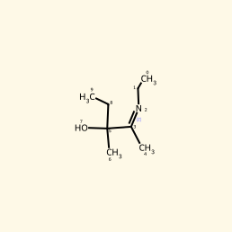 CC/N=C(/C)C(C)(O)CC